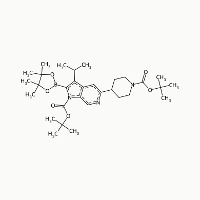 CC(C)c1c(B2OC(C)(C)C(C)(C)O2)n(C(=O)OC(C)(C)C)c2cnc(C3CCN(C(=O)OC(C)(C)C)CC3)cc12